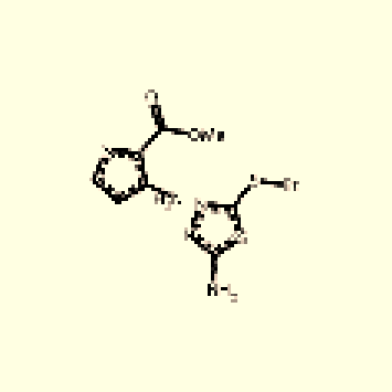 CCSc1nnc(N)s1.COC(=O)c1sccc1N